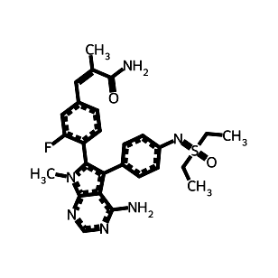 CCS(=O)(CC)=Nc1ccc(-c2c(-c3ccc(C=C(C)C(N)=O)cc3F)n(C)c3ncnc(N)c23)cc1